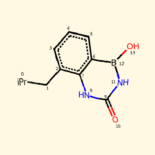 CC(C)Cc1cccc2c1NC(=O)NB2O